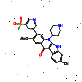 COc1cc2c(=O)c3c4ccc(C#N)cc4[nH]c3n(C3CCNCC3)c2cc1-c1cncc(S(=O)(=O)F)c1